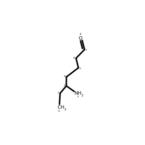 CCC(N)CCCC=O